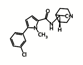 Cn1c(C(=O)N[C@H]2CN3CCC2CC3)ccc1-c1cccc(Cl)c1